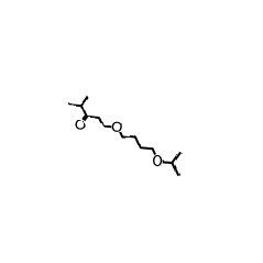 CC(C)OCCCCOCCC(=O)C(C)C